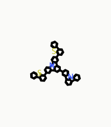 c1ccc2c(c1)sc1c(-c3ccc4c(c3)c3cc(-c5ccc6c(c5)c5cccc7c8ccccc8n6c75)cc5c6cc(-c7cccc8c7sc7ccccc78)ccc6n4c35)cccc12